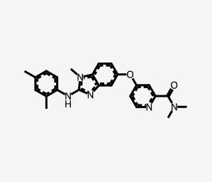 Cc1ccc(Nc2nc3cc(Oc4ccnc(C(=O)N(C)C)c4)ccc3n2C)c(C)c1